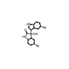 O=C1Nc2ccc(Br)cc2C1(O)c1c[nH]c2ccc(Br)cc12